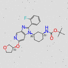 CC(C)(C)OC(=O)N[C@H]1CCC[C@@H](n2c(-c3ccccc3F)nc3cnc(O[C@H]4CCOC4)cc32)C1